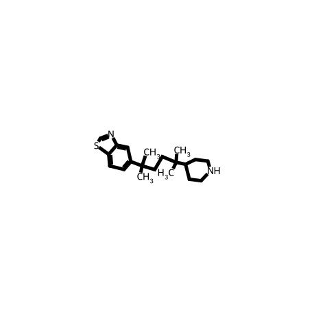 CC(C)(CCC(C)(C)C1CCNCC1)c1ccc2scnc2c1